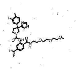 COCCOCCOCCNC(=O)c1ccc(C(F)F)cc1NC(=O)N1CCC(c2ccc(C)c(F)c2)(c2ncns2)C1